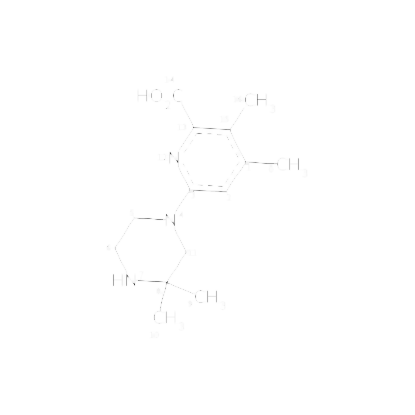 Cc1cc(N2CCNC(C)(C)C2)nc(C(=O)O)c1C